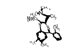 COC1=Nc2cc(C)c(C)cc2C(c2ccccc2C)=N/C1=C(\C)N(C)C